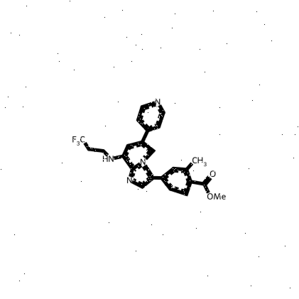 COC(=O)c1ccc(-c2cnc3c(NCCC(F)(F)F)cc(-c4ccncc4)cn23)cc1C